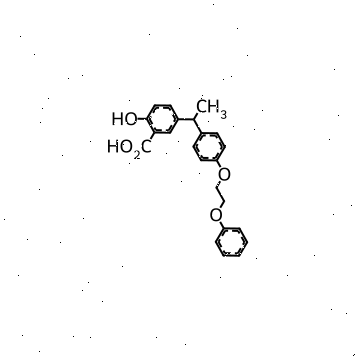 CC(c1ccc(OCCOc2ccccc2)cc1)c1ccc(O)c(C(=O)O)c1